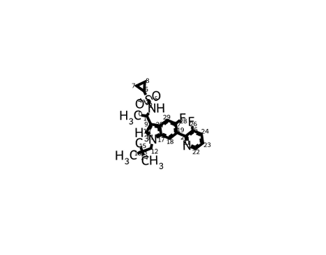 CC(NS(=O)(=O)C1CC1)c1cn(CC(C)(C)C)c2cc(-c3ncccc3F)c(F)cc12